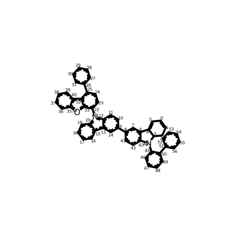 C1=CCC2C(=C1)c1cc(-c3ccc4c(c3)c3ccccc3n4-c3ccc(-c4ccccc4)c4c3oc3ccccc34)ccc1N2c1ccccc1-c1ccccc1